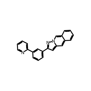 c1ccc(-c2cccc(-c3cc4cc5ccccc5cn4n3)c2)nc1